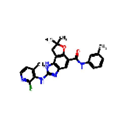 Cc1cccc(NC(=O)c2cc3nc(Nc4c(C)ccnc4Cl)[nH]c3c3c2OC(C)(C)C3)c1